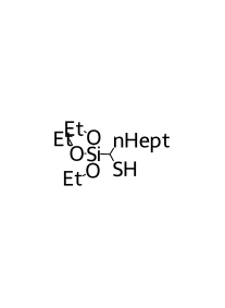 CCCCCCCC(S)[Si](OCC)(OCC)OCC